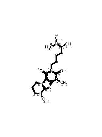 C[C@@H](CCCCn1c(=O)c2c(nc3n2CCCN3C)n(C)c1=O)N(C)C